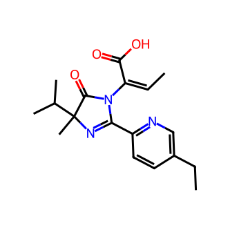 CC=C(C(=O)O)N1C(=O)C(C)(C(C)C)N=C1c1ccc(CC)cn1